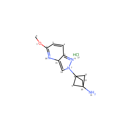 COc1ccc2nn(C34CC(N)(C3)C4)cc2n1.Cl